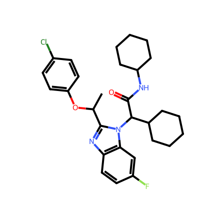 CC(Oc1ccc(Cl)cc1)c1nc2ccc(F)cc2n1C(C(=O)NC1CCCCC1)C1CCCCC1